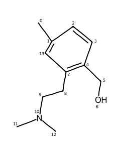 Cc1ccc(CO)c(CCN(C)C)c1